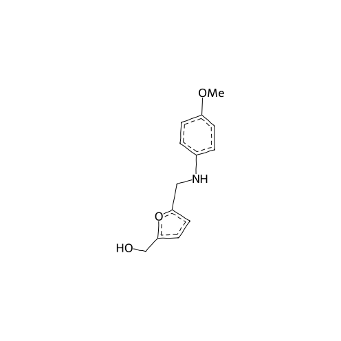 COc1ccc(NCc2ccc(CO)o2)cc1